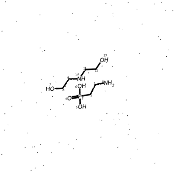 NCCP(=O)(O)O.OCCNCCO